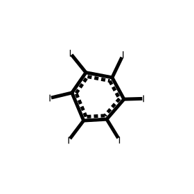 Ic1c(I)c(I)c(I)c(I)c1I